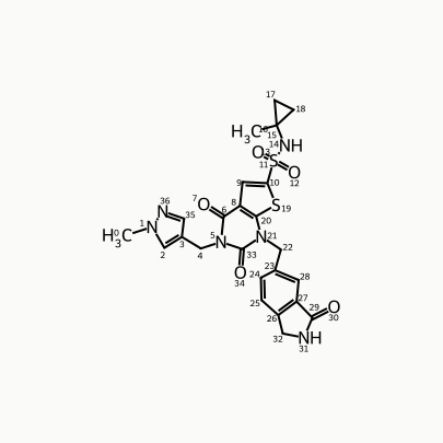 Cn1cc(Cn2c(=O)c3cc(S(=O)(=O)NC4(C)CC4)sc3n(Cc3ccc4c(c3)C(=O)NC4)c2=O)cn1